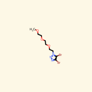 COCCOCCOCCn1nnc(Br)c1Br